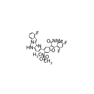 CNC(=O)c1c(-c2ccc(F)cc2F)oc2cc(N(C)S(C)(=O)=O)c(-c3ccc4c(n3)-c3cc5c(F)cccc5n3CN4)cc12